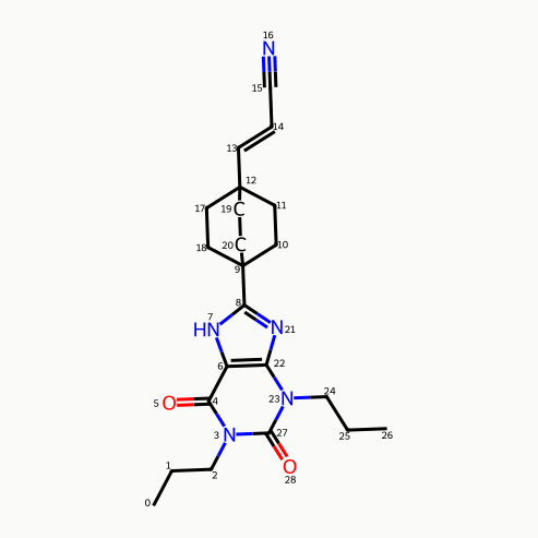 CCCn1c(=O)c2[nH]c(C34CCC(C=CC#N)(CC3)CC4)nc2n(CCC)c1=O